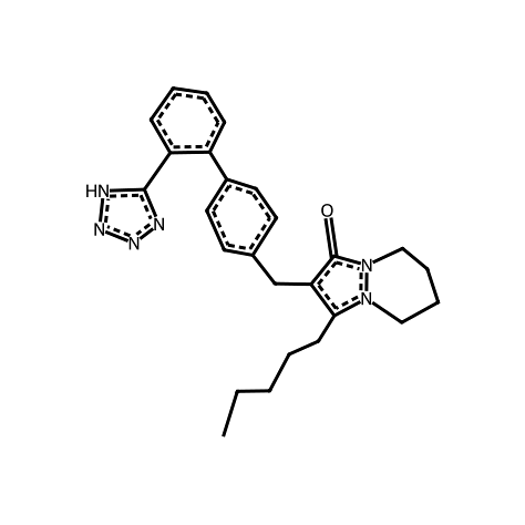 CCCCCc1c(Cc2ccc(-c3ccccc3-c3nnn[nH]3)cc2)c(=O)n2n1CCCC2